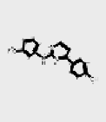 Oc1ccc(-c2ccnc(Nc3cccc(C(F)(F)F)c3)n2)cc1